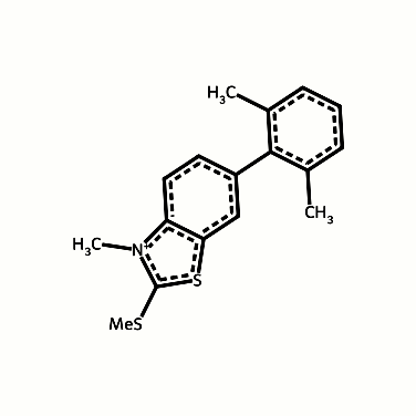 CSc1sc2cc(-c3c(C)cccc3C)ccc2[n+]1C